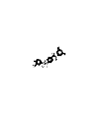 Cc1cc(C)cc(NC(=O)c2ccc(NS(=O)(=O)c3ccc(F)c(Cl)c3)cc2)c1